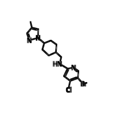 Cc1cnn(C2CCC(CNc3cc(Cl)c(Br)cn3)CC2)c1